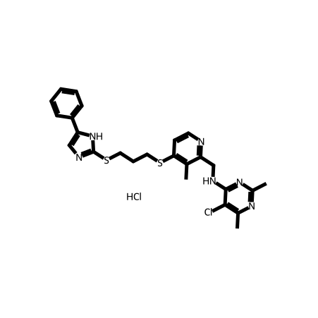 Cc1nc(C)c(Cl)c(NCc2nccc(SCCCSc3ncc(-c4ccccc4)[nH]3)c2C)n1.Cl